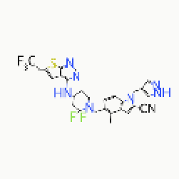 Cc1c(CN2CCC(Nc3ncnc4sc(CC(F)(F)F)cc34)CC2(F)F)ccc2c1cc(C#N)n2Cc1cn[nH]c1